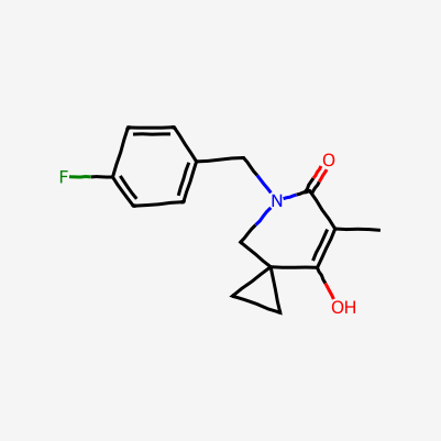 CC1=C(O)C2(CC2)CN(Cc2ccc(F)cc2)C1=O